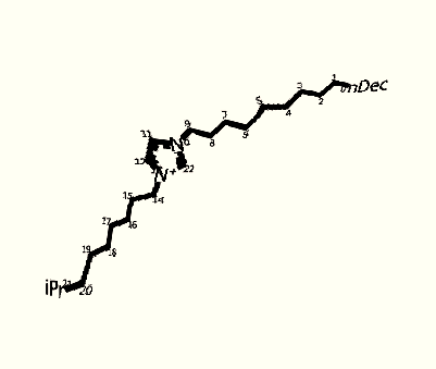 CCCCCCCCCCCCCCCCCCCn1cc[n+](CCCCCCCC(C)C)c1